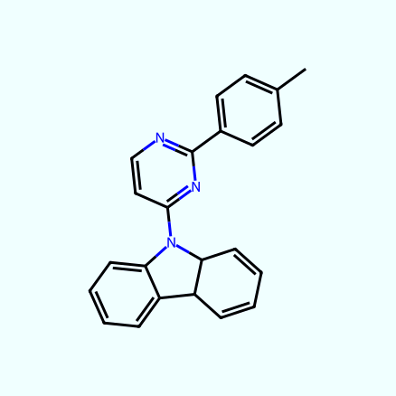 Cc1ccc(-c2nccc(N3c4ccccc4C4C=CC=CC43)n2)cc1